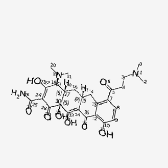 CN(C)CCC(=O)c1ccc(O)c2c1C[C@H]1C[C@H]3[C@H](N(C)C)C(O)=C(C(N)=O)C(=O)[C@@]3(O)C(O)=C1C2=O